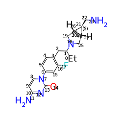 CCC(Cc1ccc(-n2ccc(N)nc2=O)cc1F)N1C[C@@H]2[C@@H](CN)[C@@H]2C1